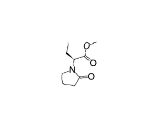 CC[C@@H](C(=O)OC)N1CCCC1=O